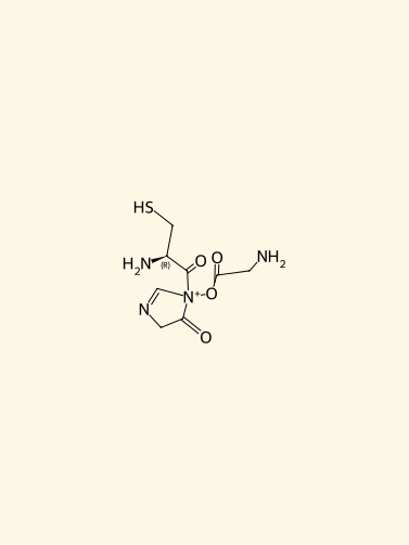 NCC(=O)O[N+]1(C(=O)[C@@H](N)CS)C=NCC1=O